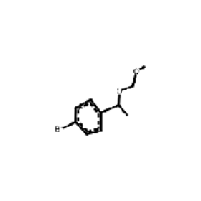 COCOC(C)c1ccc(Br)cc1